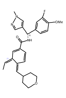 C/C=c1/cc(C(=O)N[C@@H](c2ccc(OC)c(F)c2)c2cnn(C)c2)ccc1=CC1CCOCC1